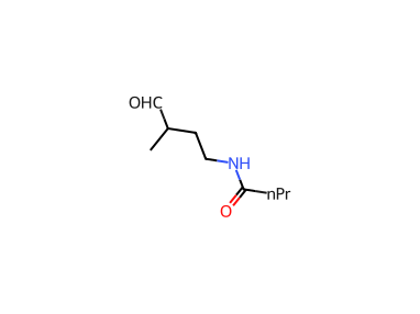 CCCC(=O)NCCC(C)C=O